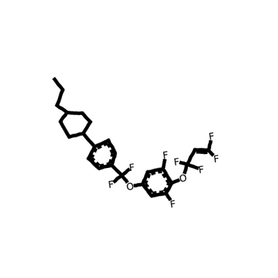 CCCC1CCC(c2ccc(C(F)(F)Oc3cc(F)c(OC(F)(F)C=C(F)F)c(F)c3)cc2)CC1